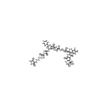 CC[C@@]1(O)C(=O)OCc2c1cc1n(c2=O)Cc2c-1nc1cc(F)c(C)c3c1c2[C@@H](NC(=O)COCNC(=O)CNC(=O)[C@H](CCc1ccccc1)NC(=O)CNC(=O)CNC(=O)CCCCCN1C(=O)CC(C)C1=O)CC3